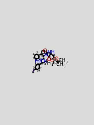 C[C@@H](c1ccccc1)[C@@H](c1ncc(-c2ccc(I)cc2)[nH]1)N1C(=O)NC(CC(=O)OC(C)(C)C)C1=O